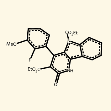 CCOC(=O)c1c(-c2cccc(OC)c2F)c2c([nH]c1=O)c1ccccc1n2C(=O)OCC